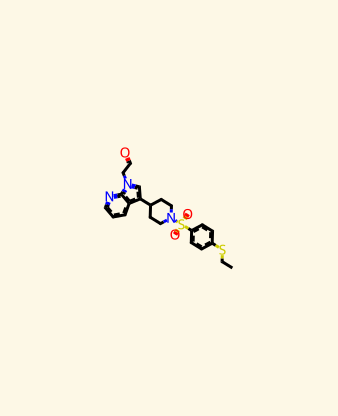 CCSc1ccc(S(=O)(=O)N2CCC(c3cn(CC=O)c4ncccc34)CC2)cc1